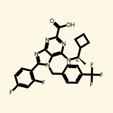 C[C@@H](Nc1nc(C(=O)O)nc2nc(-c3ccc(F)cc3F)n(Cc3ccc(C(F)(F)F)cc3)c12)C1CCC1